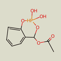 CC(=O)OC1O[PH](O)(O)Oc2ccccc21